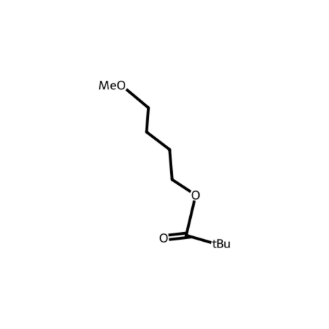 COCCCCOC(=O)C(C)(C)C